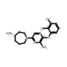 Nc1nc(N2CCC[C@H](N)CC2)cnc1Sc1cccc(Cl)c1Cl